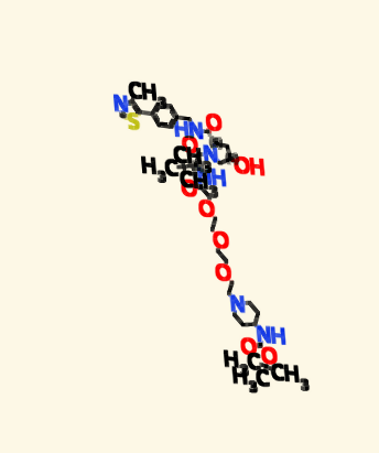 Cc1ncsc1-c1ccc(CNC(=O)[C@@H]2C[C@@H](O)CN2C(=O)[C@@H](NC(=O)COCCOCCOCCN2CCC(NC(=O)OC(C)(C)C)CC2)C(C)(C)C)cc1